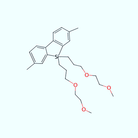 COCCOCCC[Si]1(CCCOCCOC)c2cc(C)ccc2-c2ccc(C)cc21